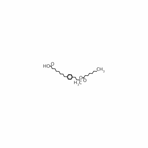 CCCCCCCC(=O)OC(C)CCc1ccc(CCCCCCCC(=O)O)cc1